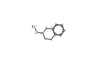 CCON1CCc2ccccc2C1